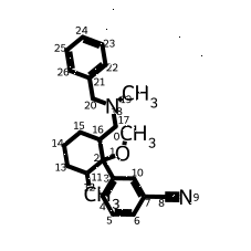 COC1(c2cccc(C#N)c2)C(C)CCCC1CN(C)Cc1ccccc1